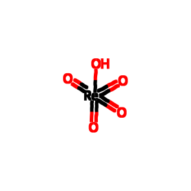 [O]=[Re](=[O])(=[O])(=[O])[OH]